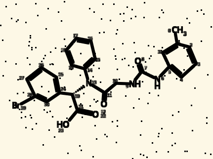 Cc1cccc(NC(=O)NCC(=O)N(c2ccccc2)[C@H](C(=O)O)c2cccc(Br)c2)c1